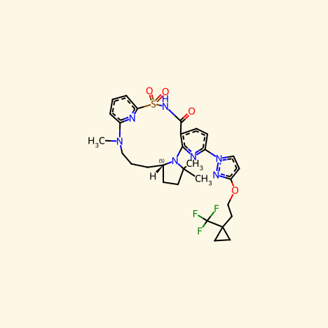 CN1CCC[C@H]2CCC(C)(C)N2c2nc(-n3ccc(OCCC4(C(F)(F)F)CC4)n3)ccc2C(=O)NS(=O)(=O)c2cccc1n2